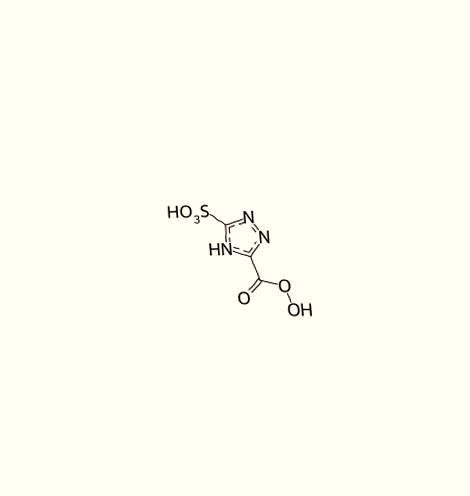 O=C(OO)c1nnc(S(=O)(=O)O)[nH]1